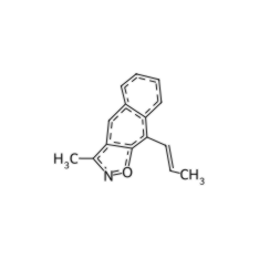 CC=Cc1c2ccccc2cc2c(C)noc12